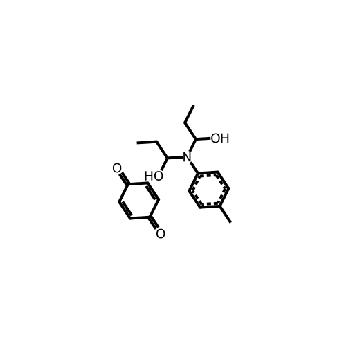 CCC(O)N(c1ccc(C)cc1)C(O)CC.O=C1C=CC(=O)C=C1